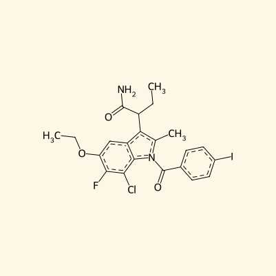 CCOc1cc2c(C(CC)C(N)=O)c(C)n(C(=O)c3ccc(I)cc3)c2c(Cl)c1F